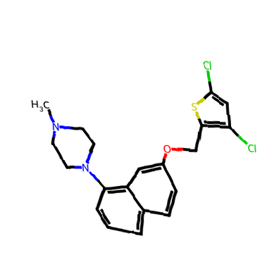 CN1CCN(c2cccc3ccc(OCc4sc(Cl)cc4Cl)cc23)CC1